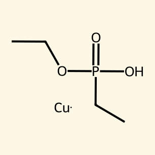 CCOP(=O)(O)CC.[Cu]